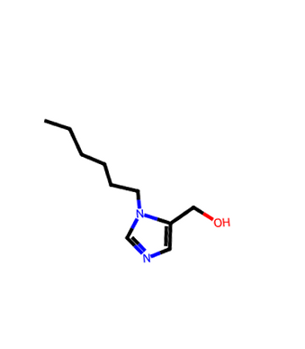 CCCCCCn1cncc1CO